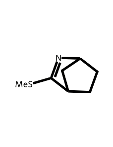 CSC1=NC2CCC1C2